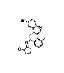 Cc1cccc(/C(Cc2ccnc3ccc(Br)cc23)=N\N2CCCC2=O)n1